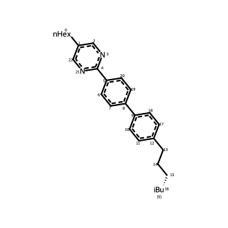 CCCCCCc1cnc(-c2ccc(-c3ccc(CCC[C@@H](C)CC)cc3)cc2)nc1